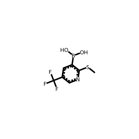 CSc1ncc(C(F)(F)F)cc1B(O)O